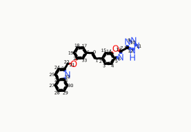 C(=Cc1ccc2nc(-c3nnn[nH]3)oc2c1)c1cccc(OCc2ccc3ccccc3n2)c1